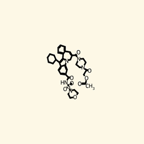 CC(=O)OCC(=O)N1CCN(C(=O)C2=Cc3ccccc3-c3c(C4CCCCC4)c4ccc(C(=O)NS(=O)(=O)N5CCOCC5)cc4n3C2)CC1